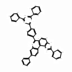 c1ccc(-c2ccc3c(c2)nc(-c2ccc(-c4nc(-c5ccccc5)nc(-c5ccccc5)n4)cc2)c2ccc4oc(-c5ccccc5)nc4c23)cc1